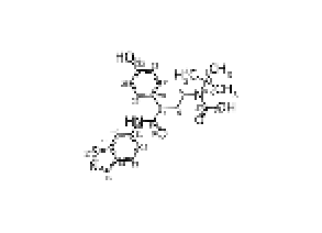 CC(C)(C)N(CCC(C(=O)Nc1ccc2cnsc2c1)c1ccc(O)cc1)C(=O)O